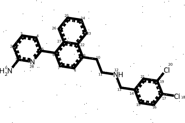 Nc1cccc(-c2ccc(CCNCc3ccc(Cl)c(Cl)c3)c3ccccc23)n1